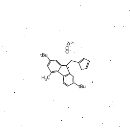 Cc1cc(C(C)(C)C)cc2c1-c1ccc(C(C)(C)C)cc1C2CC1=CC=CC1.[Cl-].[Cl-].[Zr+2]